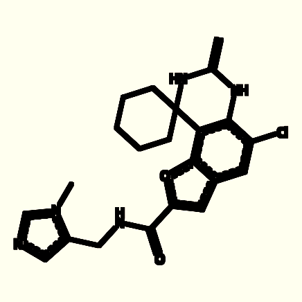 C=C1Nc2c(Cl)cc3cc(C(=O)NCc4cncn4C)oc3c2C2(CCCCC2)N1